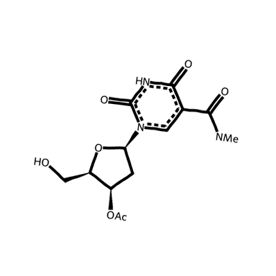 CNC(=O)c1cn([C@H]2C[C@@H](OC(C)=O)[C@@H](CO)O2)c(=O)[nH]c1=O